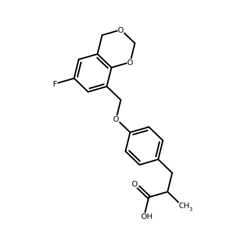 CC(Cc1ccc(OCc2cc(F)cc3c2OCOC3)cc1)C(=O)O